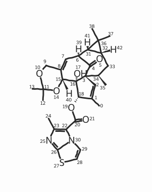 CC1=C[C@]23C(=O)[C@@H](C=C4COC(C)(C)O[C@H]4[C@]2(O)[C@H]1OC(=O)c1c(C)nc2sccn12)[C@H]1[C@@H](C[C@H]3C)C1(C)C